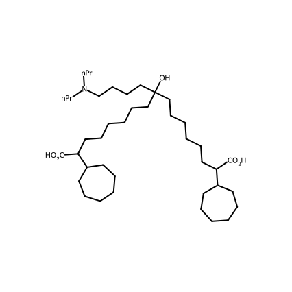 CCCN(CCC)CCCCC(O)(CCCCCCC(C(=O)O)C1CCCCCC1)CCCCCCC(C(=O)O)C1CCCCCC1